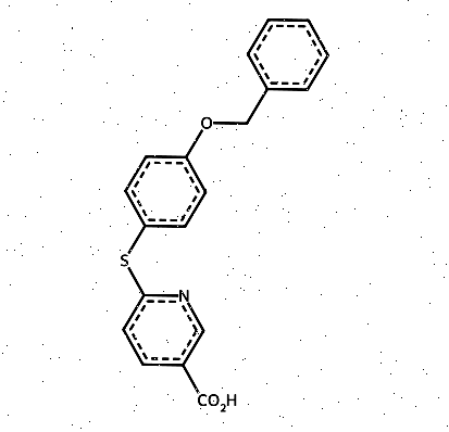 O=C(O)c1ccc(Sc2ccc(OCc3ccccc3)cc2)nc1